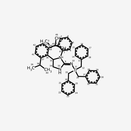 COc1ccccc1N1C(=[N][Ti]([CH2]c2ccccc2)([CH2]c2ccccc2)[CH2]c2ccccc2)NCC1c1c(C(C)C)cccc1C(C)C